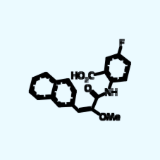 CO/C(=C/c1ccc2ccccc2c1)C(=O)Nc1ccc(F)cc1C(=O)O